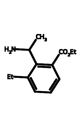 CCOC(=O)c1cccc(CC)c1C(C)N